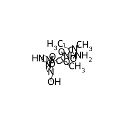 CCCc1cn(CC)c(C(N)=O)c1NC(=O)c1cc(S(=O)(=O)N2CCNCC2N2CCN(CCO)CC2)ccc1OCC